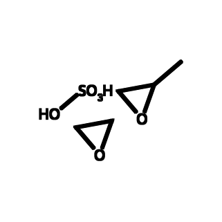 C1CO1.CC1CO1.O=S(=O)(O)O